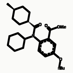 CCCCOc1ccc(N(C(=O)[C@H]2CC[C@H](C)CC2)C2CCCCC2)c(C(=O)OC)c1